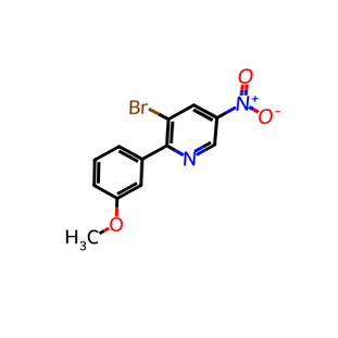 COc1cccc(-c2ncc([N+](=O)[O-])cc2Br)c1